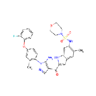 Cc1cc2cc(C(=O)c3cnn(-c4ccc(Oc5ccccc5F)cc4C)c3N)[nH]c2cc1NS(=O)(=O)N1CCOCC1